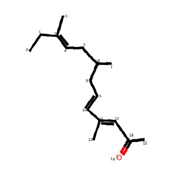 CCC(C)=CCC(C)CC=CC(C)=CC(C)=O